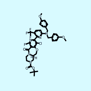 COc1ccc(CN(Cc2ccc(OC)cc2)c2ccc(C(F)(F)F)c(-c3nc(F)c4c(c3Cl)OC[C@H]3CN(C(=O)OC(C)(C)C)CCN3C4=O)n2)cc1